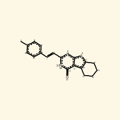 Cc1ccc(/C=C/c2nc3sc4c(c3c(=O)[nH]2)CCCC4)cc1